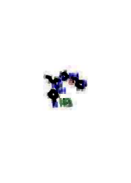 CCCc1cc(N2CCC(NC(=O)Cc3cccnc3)C2)nc(Nc2cccc(C#N)c2)n1.Cl.Cl